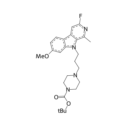 COc1ccc2c3cc(F)nc(C)c3n(CCCN3CCN(C(=O)OC(C)(C)C)CC3)c2c1